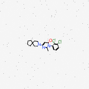 Cc1nc(N2CCC3(CCC[C@@H]3C)CC2)cc(=O)n1-c1cccc(Cl)c1Cl